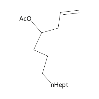 C=CCC(CCCCCCCCCC)OC(C)=O